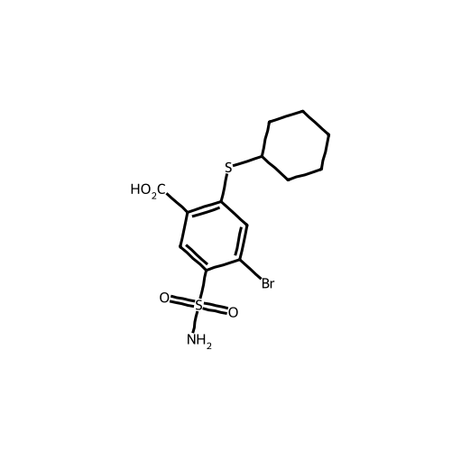 NS(=O)(=O)c1cc(C(=O)O)c(SC2CCCCC2)cc1Br